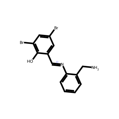 NCc1ccccc1/N=C/c1cc(Br)cc(Br)c1O